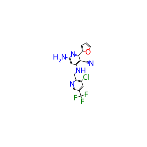 N#Cc1c(NCc2ncc(C(F)(F)F)cc2Cl)cc(N)nc1-c1ccco1